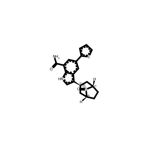 NC(=O)c1cc(-c2cccs2)cc2c([C@@H]3C[C@H]4CC[C@@H](C3)S4(=O)=O)c[nH]c12